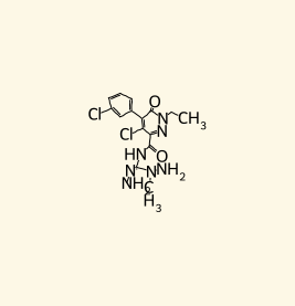 CCn1nc(C(=O)N/C(=N/N)N(C)N)c(Cl)c(-c2cccc(Cl)c2)c1=O